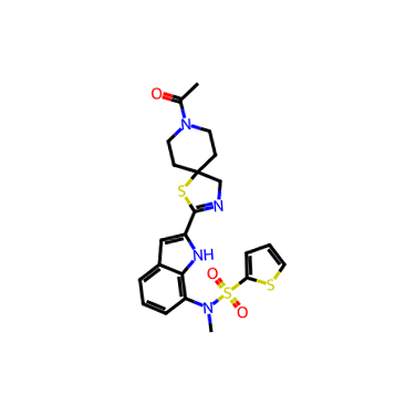 CC(=O)N1CCC2(CC1)CN=C(c1cc3cccc(N(C)S(=O)(=O)c4cccs4)c3[nH]1)S2